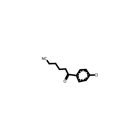 N#CCCCCC(=O)c1ccc(Cl)cc1